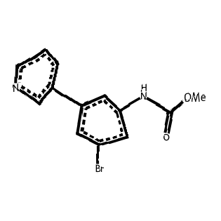 COC(=O)Nc1cc(Br)cc(-c2cccnc2)c1